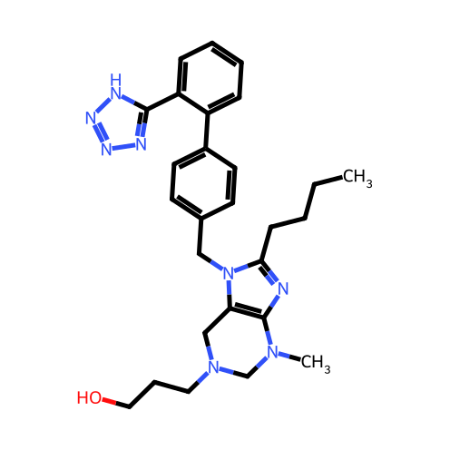 CCCCc1nc2c(n1Cc1ccc(-c3ccccc3-c3nnn[nH]3)cc1)CN(CCCO)CN2C